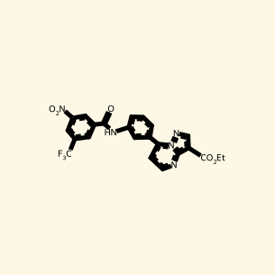 CCOC(=O)c1cnn2c(-c3cccc(NC(=O)c4cc([N+](=O)[O-])cc(C(F)(F)F)c4)c3)ccnc12